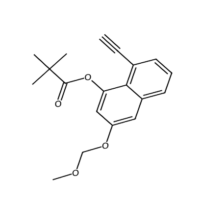 C#Cc1cccc2cc(OCOC)cc(OC(=O)C(C)(C)C)c12